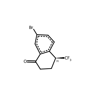 O=C1CC[C@H](C(F)(F)F)c2ccc(Br)cc21